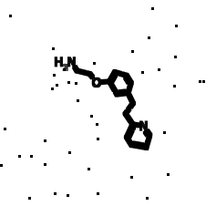 NCCOc1cccc(CCc2ccccn2)c1